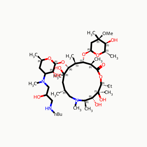 CCCCNCC(O)CN(C)C1C[C@@H](C)O[C@@H](O[C@@H]2[C@@H](C)[C@H](O[C@H]3C[C@@](C)(OC)[C@@H](O)[C@H](C)O3)[C@@H](C)C(=O)O[C@H](CC)[C@@](C)(O)[C@H](O)[C@@H](C)N(C)C[C@H](C)C[C@@]2(C)O)[C@@H]1O